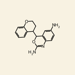 NC1=Nc2ccc(N)cc2C(C2CCOc3ccccc32)O1